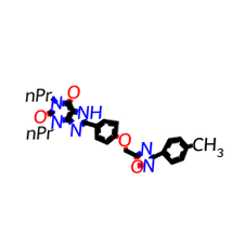 CCCn1c(=O)c2[nH]c(-c3ccc(OCc4nc(-c5ccc(C)cc5)no4)cc3)nc2n(CCC)c1=O